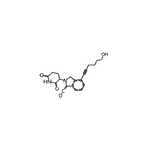 O=C=C1c2cccc(C#CCCCCO)c2CN1C1CCC(=O)NC1=O